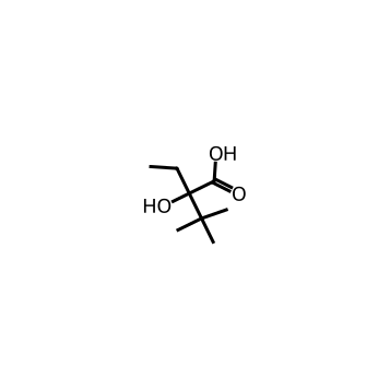 CCC(O)(C(=O)O)C(C)(C)C